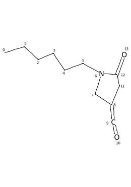 CCCCCCN1CC(=C=O)CC1=O